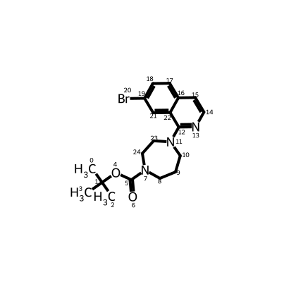 CC(C)(C)OC(=O)N1CCCN(c2nccc3ccc(Br)cc23)CC1